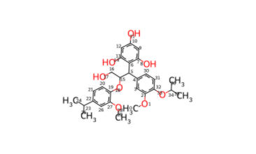 COc1cc(C(c2c(O)cc(O)cc2O)C(CO)Oc2ccc(C(C)C)cc2OC)ccc1OC(C)C